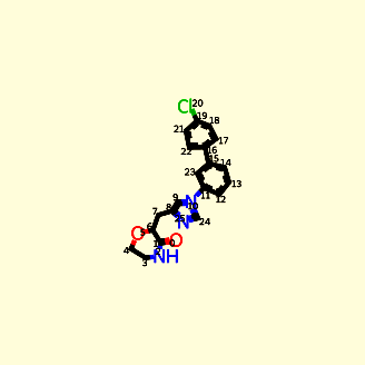 O=C1NCCOC1Cc1cn(-c2cccc(-c3ccc(Cl)cc3)c2)cn1